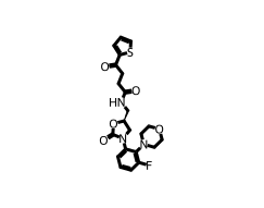 O=C(CCC(=O)c1cccs1)NC[C@H]1CN(c2cccc(F)c2N2CCOCC2)C(=O)O1